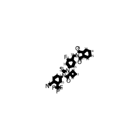 N#Cc1ccc(N2C(=O)C3(CCC3)N(c3ccc(CN4C(=O)c5ccccc5C4=O)c(F)c3)C2=S)cc1C(F)(F)F